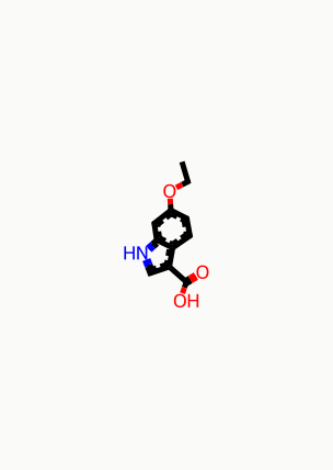 CCOc1ccc2c(C(=O)O)c[nH]c2c1